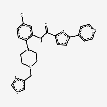 O=C(Nc1cc(Cl)ccc1N1CCN(Cc2cocn2)CC1)c1ccc(-c2ccncc2)o1